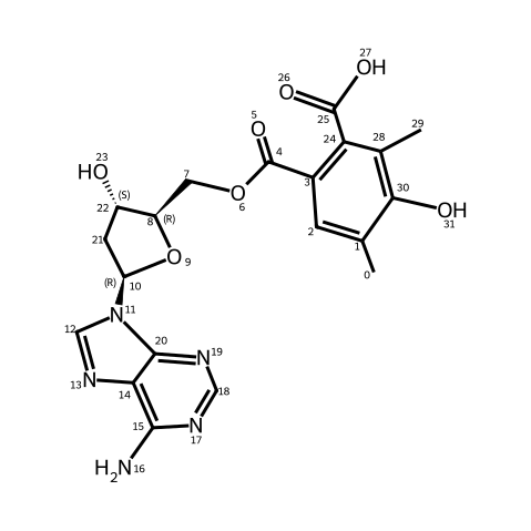 Cc1cc(C(=O)OC[C@H]2O[C@@H](n3cnc4c(N)ncnc43)C[C@@H]2O)c(C(=O)O)c(C)c1O